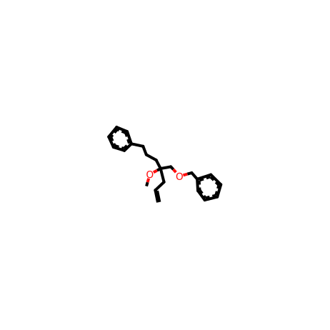 C=CCC(CCCc1ccccc1)(COCc1ccccc1)OC